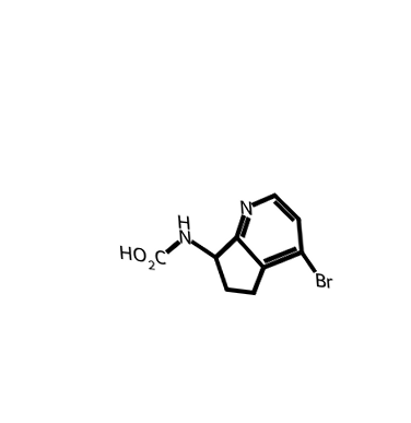 O=C(O)NC1CCc2c(Br)ccnc21